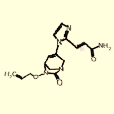 C=CCON1C(=O)N2CC(n3ccnc3/C=C/C(N)=O)=CC1C2